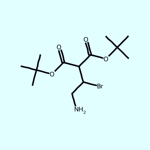 CC(C)(C)OC(=O)C(C(=O)OC(C)(C)C)C(Br)CN